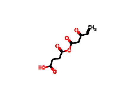 C=CC(=O)CC(=O)OC(=O)CCC(=O)O